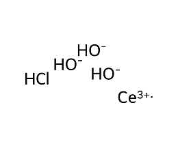 Cl.[Ce+3].[OH-].[OH-].[OH-]